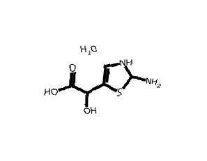 NC1NC=C(C(O)C(=O)O)S1.O